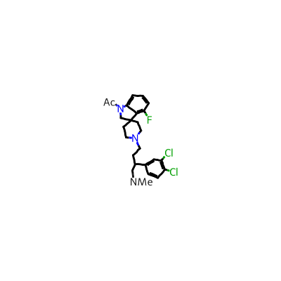 CNCC(CCN1CCC2(CC1)CN(C(C)=O)c1cccc(F)c12)c1ccc(Cl)c(Cl)c1